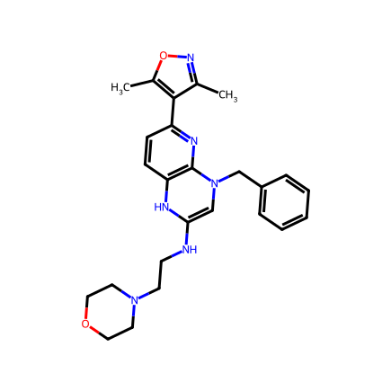 Cc1noc(C)c1-c1ccc2c(n1)N(Cc1ccccc1)C=C(NCCN1CCOCC1)N2